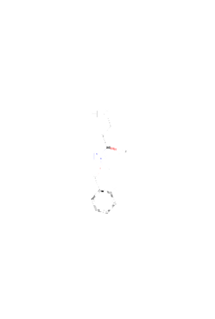 CCCC(=O)NOCc1ccccc1